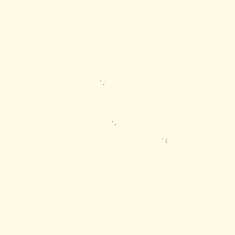 CC(=O)c1cccc(N2C=C(c3ccccn3)C=C(c3ccccc3C#N)C2C=O)c1